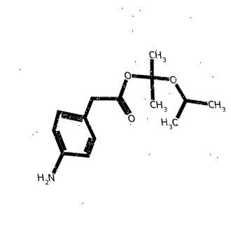 CC(C)OC(C)(C)OC(=O)Cc1ccc(N)cc1